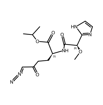 CO[C@@H](C(=O)N[C@@H](CCC(=O)C=[N+]=[N-])C(=O)OC(C)C)c1ncc[nH]1